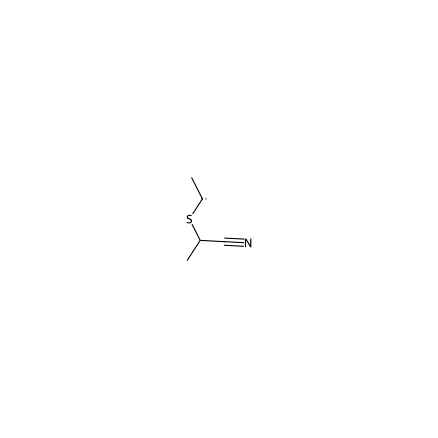 C[CH]SC(C)C#N